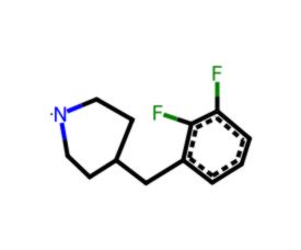 Fc1cccc(CC2CC[N]CC2)c1F